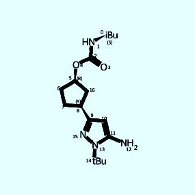 CC[C@H](C)NC(=O)O[C@@H]1CC[C@H](c2cc(N)n(C(C)(C)C)n2)C1